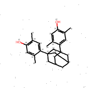 Cc1cc(C23CC4CC(C2)CC(c2cc(C)c(O)cc2C)(C4)C3)c(C)cc1O